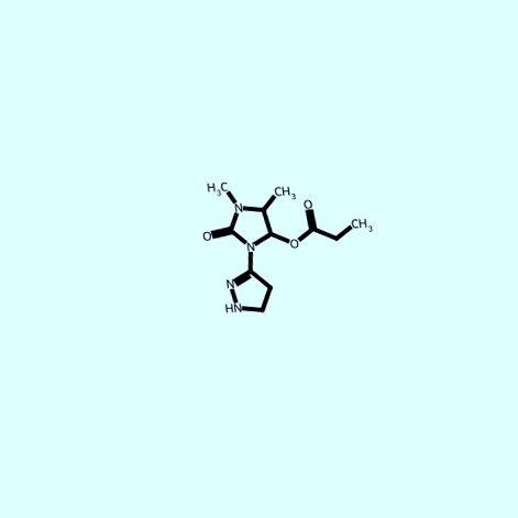 CCC(=O)OC1C(C)N(C)C(=O)N1C1=NNCC1